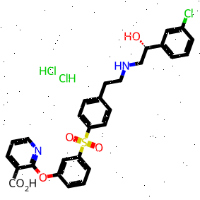 Cl.Cl.O=C(O)c1cccnc1Oc1cccc(S(=O)(=O)c2ccc(CCNC[C@H](O)c3cccc(Cl)c3)cc2)c1